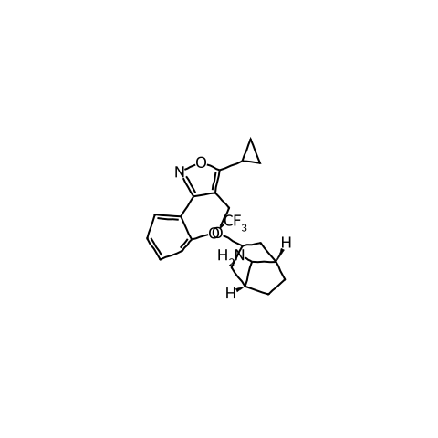 NC1[C@@H]2CC[C@H]1CC(OCc1c(-c3ccccc3OC(F)(F)F)noc1C1CC1)C2